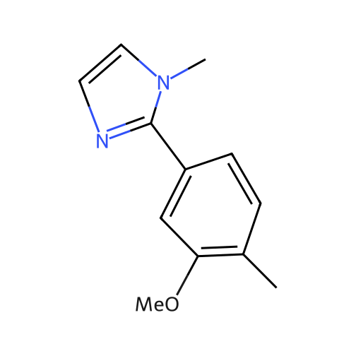 COc1cc(-c2nccn2C)ccc1C